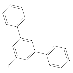 Ic1cc(-c2ccccc2)cc(-c2ccncc2)c1